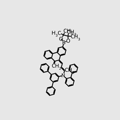 C=c1/c(=C\C=C(/C)N(c2cc(-c3ccccc3)cc(-c3ccccc3)c2)c2ccccc2-c2ccccc2)c2ccc(B3OC(C)(C)C(C)(C)O3)cc2c2ccccc12